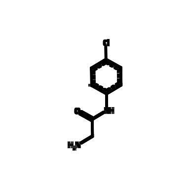 NCC(=O)Nc1[c]cc(Cl)cc1